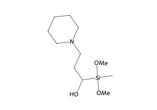 CO[Si](C)(OC)C(O)CCN1CCCCC1